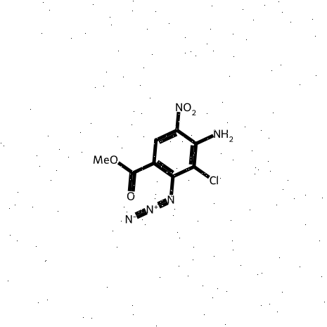 COC(=O)c1cc([N+](=O)[O-])c(N)c(Cl)c1N=[N+]=[N-]